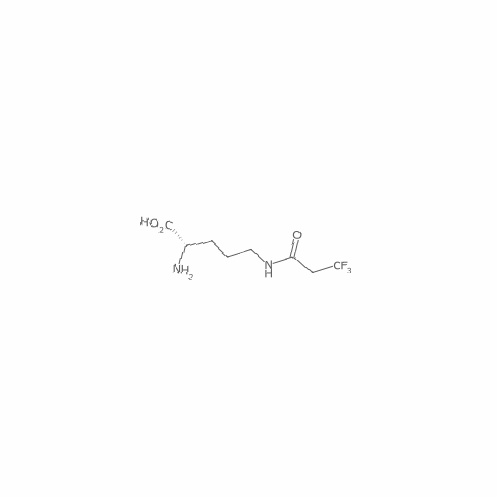 N[C@@H](CCCNC(=O)CC(F)(F)F)C(=O)O